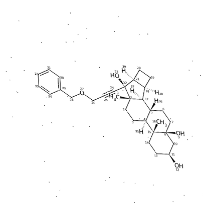 C[C@]12CC[C@H]3[C@@H](CC[C@]4(O)C[C@@H](O)CC[C@]34C)[C@@H]1[C@@H]1CC[C@@H]1[C@@]2(O)C#CCOCc1ccccc1